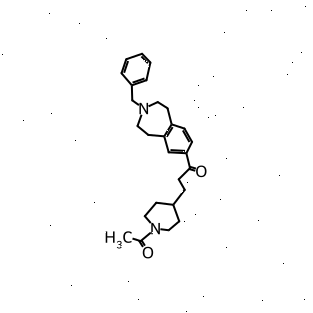 CC(=O)N1CCC(CCC(=O)c2ccc3c(c2)CCN(Cc2ccccc2)CC3)CC1